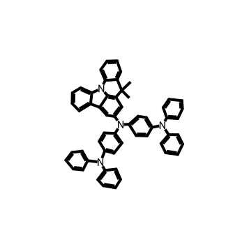 CC1(C)c2ccccc2-n2c3ccccc3c3cc(N(c4ccc(N(c5ccccc5)c5ccccc5)cc4)c4ccc(N(c5ccccc5)c5ccccc5)cc4)cc1c32